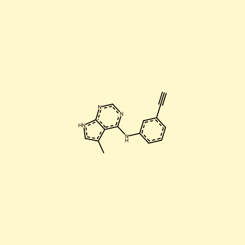 C#Cc1cccc(Nc2ncnc3[nH]cc(C)c23)c1